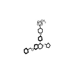 COC(OC)C1CCN(c2ccc([C@H]3c4ccc(OCc5ccccc5)cc4CC[C@H]3CC3CCCC3)cc2)CC1